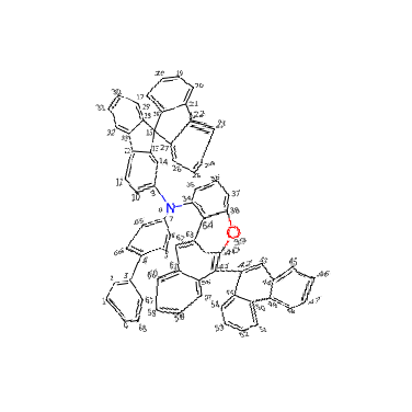 c1ccc(-c2ccc(N(c3ccc4c(c3)C3(c5ccccc5-c5ccccc53)c3ccccc3-4)c3cccc4oc5c(-c6cc7ccccc7c7ccccc67)c6ccccc6cc5c34)cc2)cc1